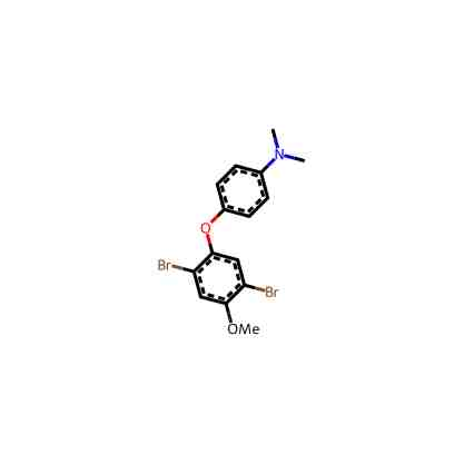 COc1cc(Br)c(Oc2ccc(N(C)C)cc2)cc1Br